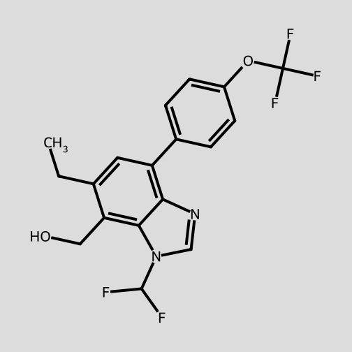 CCc1cc(-c2ccc(OC(F)(F)F)cc2)c2ncn(C(F)F)c2c1CO